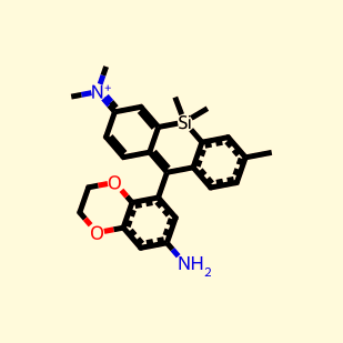 Cc1ccc2c(c1)[Si](C)(C)C1=CC(=[N+](C)C)C=CC1=C2c1cc(N)cc2c1OCCO2